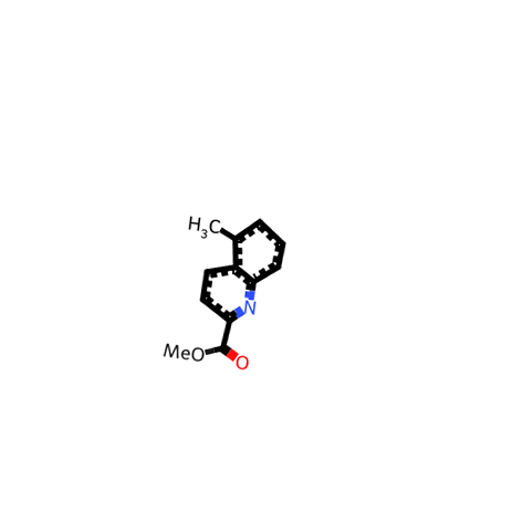 COC(=O)c1ccc2c(C)cccc2n1